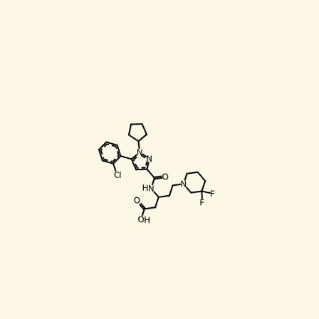 O=C(O)CC(CCN1CCCC(F)(F)C1)NC(=O)c1cc(-c2ccccc2Cl)n(C2CCCC2)n1